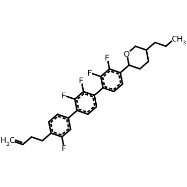 C=CCCc1ccc(-c2ccc(-c3ccc(C4CCC(CCC)CO4)c(F)c3F)c(F)c2F)cc1F